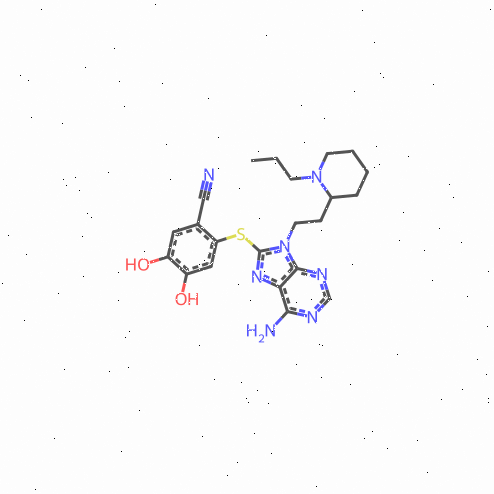 CCCN1CCCCC1CCn1c(Sc2cc(O)c(O)cc2C#N)nc2c(N)ncnc21